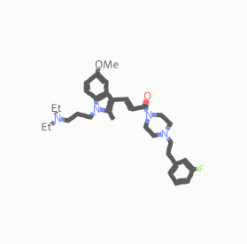 CCN(CC)CCCn1c(C)c(C=CC(=O)N2CCN(CCc3cccc(F)c3)CC2)c2cc(OC)ccc21